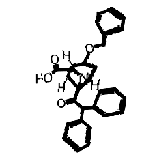 O=C(O)[C@H]1[C@H]2CC[C@H](CC2OCc2ccccc2)N1C(=O)C(c1ccccc1)c1ccccc1